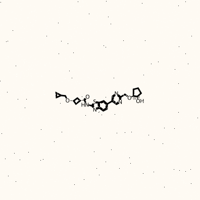 O=C(Nc1nc2ccc(-c3cnc(CO[C@H]4CCC[C@@H]4O)nc3)cc2s1)[C@H]1C[C@@H](OCC2CC2)C1